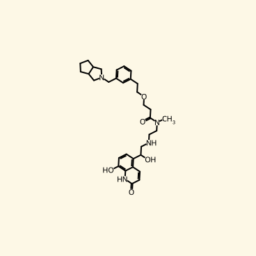 CN(CCNCC(O)c1ccc(O)c2[nH]c(=O)ccc12)C(=O)CCOCCc1cccc(CN2CC3CCCC3C2)c1